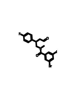 CN(CC(CC=O)c1ccc(F)cc1)C(=O)c1cc(Br)cc(I)c1